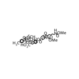 COC(=O)NCCCCC(NC(=O)OC)C(=O)N1CCN(C(=O)Oc2ccc(C[C@H](NC(=O)[C@H]3N(S(=O)(=O)c4ccc(C)cc4)CSC3(C)C)C(=O)O)cc2)CC1